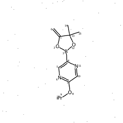 C=C1OB(c2cnc(OC(C)C)cn2)OC1(C)C